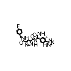 NC(=O)[C@H](NC(=O)c1cc(C(=O)NCc2ccc(F)cc2)ncn1)c1ccc(-c2nnc[nH]2)cc1